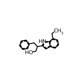 CCc1cccc2cc(C(CO)Cc3ccccc3)[nH]c12